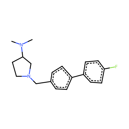 CN(C)C1CCN(Cc2ccc(-c3ccc(F)cc3)cc2)C1